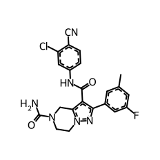 Cc1cc(F)cc(-c2nn3c(c2C(=O)Nc2ccc(C#N)c(Cl)c2)CN(C(N)=O)CC3)c1